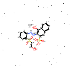 O=S(=O)([O-])c1cc2ccccc2c(O)c1N=Nc1ccccc1S(=O)(=O)CCO.[Na+]